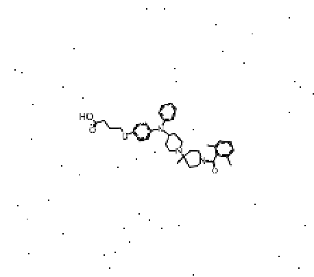 Cc1cccc(C)c1C(=O)N1CCC(C)(N2CCC(N(c3ccccc3)c3ccc(OCCCC(=O)O)cc3)CC2)CC1